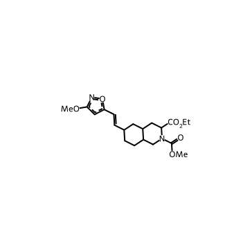 CCOC(=O)C1CC2CC(C=Cc3cc(OC)no3)CCC2CN1C(=O)OC